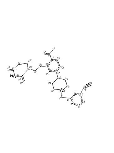 C#Cc1cccc(CN2CCC(c3ccc(C(=C)C)c(CCC4CCC(=C)NC4=C)c3)CC2)c1